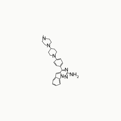 CN1CCN(C2CCN(c3ccc(-c4nc(N)nn5c4cc4ccccc45)cc3)CC2)CC1